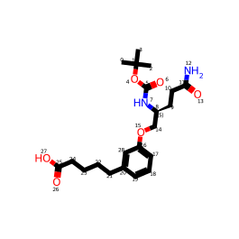 CC(C)(C)OC(=O)N[C@@H](CCC(N)=O)COc1cccc(CCCCC(=O)O)c1